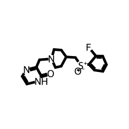 O=c1[nH]ccnc1CN1CCC(C[S+]([O-])c2ccccc2F)CC1